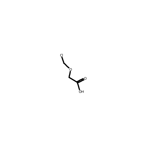 O=C(O)COCCl